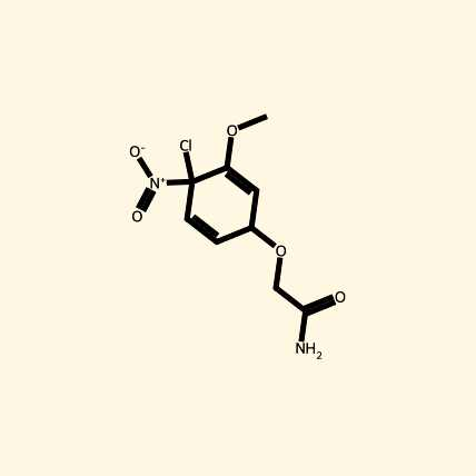 COC1=CC(OCC(N)=O)C=CC1(Cl)[N+](=O)[O-]